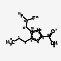 CCCc1cc(C(=O)O)nn1CC(F)F